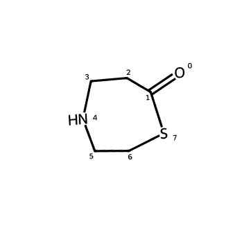 O=C1CCNCCS1